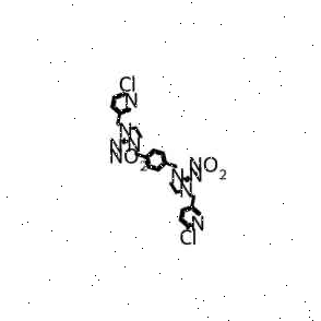 O=[N+]([O-])/N=C1\N(Cc2ccc(CN3CCN(Cc4ccc(Cl)nc4)/C3=N/[N+](=O)[O-])cc2)CCN1Cc1ccc(Cl)nc1